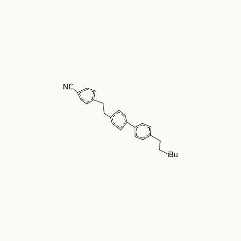 CCC(C)CCc1ccc(-c2ccc(CCc3ccc(C#N)cc3)cc2)cc1